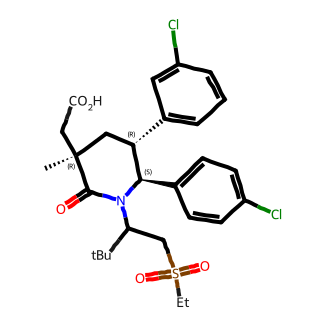 CCS(=O)(=O)CC(N1C(=O)[C@@](C)(CC(=O)O)C[C@H](c2cccc(Cl)c2)[C@H]1c1ccc(Cl)cc1)C(C)(C)C